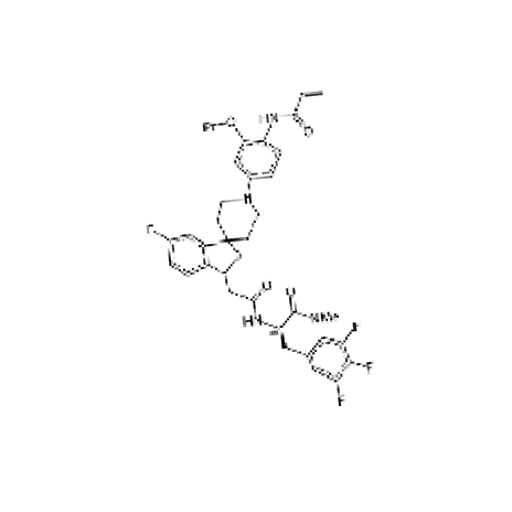 C=CC(=O)Nc1ccc(N2CCC3(CC2)CC(CC(=O)N[C@H](Cc2cc(F)c(F)c(F)c2)C(=O)NC)c2ccc(F)cc23)cc1OC(C)C